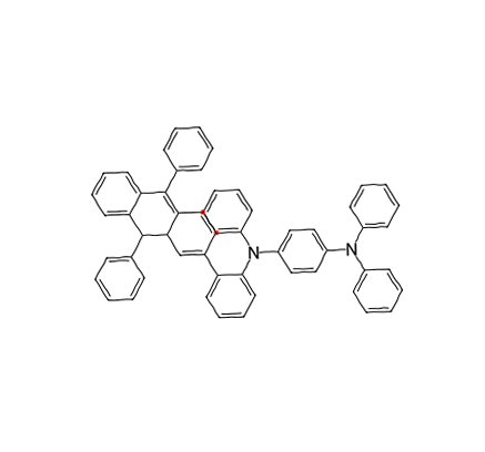 C1=CC2=C(c3ccccc3)c3ccccc3C(c3ccccc3)C2C=C1c1ccccc1N(c1ccccc1)c1ccc(N(c2ccccc2)c2ccccc2)cc1